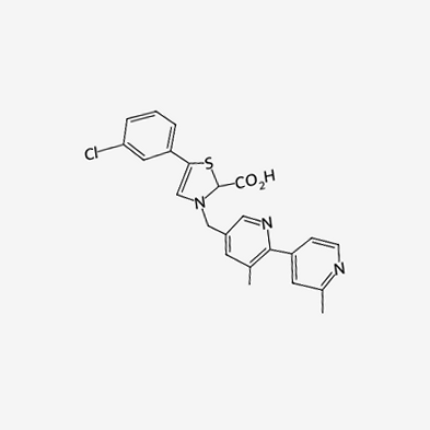 Cc1cc(-c2ncc(CN3C=C(c4cccc(Cl)c4)SC3C(=O)O)cc2C)ccn1